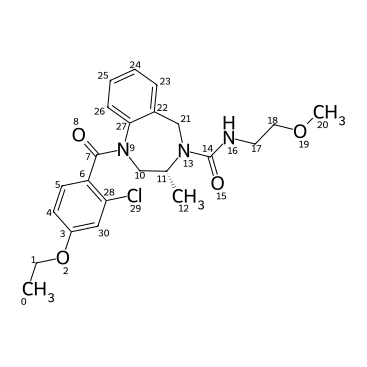 CCOc1ccc(C(=O)N2C[C@@H](C)N(C(=O)NCCOC)Cc3ccccc32)c(Cl)c1